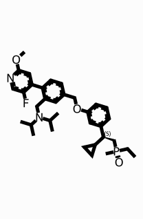 CCP(C)(=O)C[C@H](c1cccc(OCc2ccc(-c3cc(OC)ncc3F)c(CN(C(C)C)C(C)C)c2)c1)C1CC1